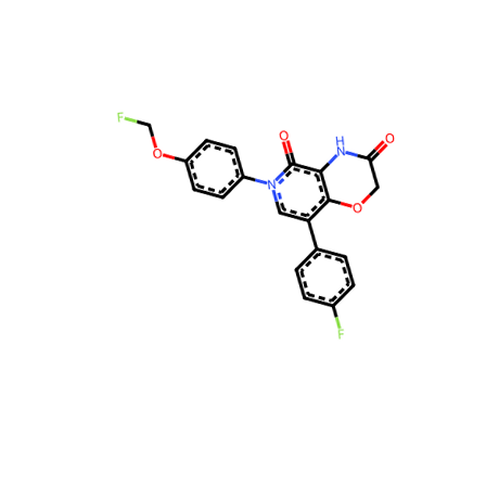 O=C1COc2c(-c3ccc(F)cc3)cn(-c3ccc(OCF)cc3)c(=O)c2N1